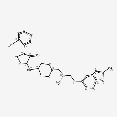 Cc1nc2cc(OC[C@H](O)CN3CCC(NC4CCN(c5ccccc5F)C4=O)CC3)ccc2s1